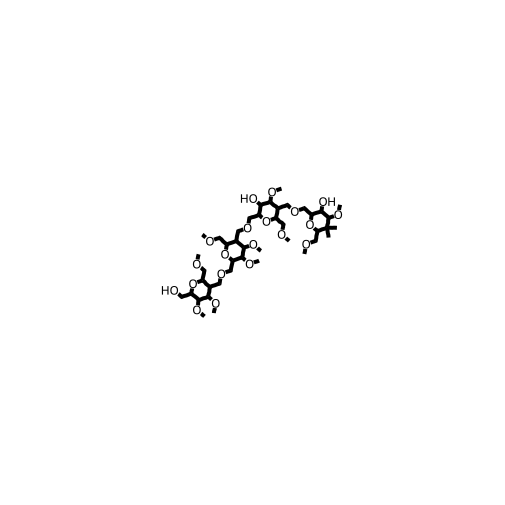 COCC1OC(COCC2C(COC)OC(COCC3C(COC)OC(CO)C(OC)C3OC)C(OC)C2OC)C(O)C(OC)C1COCC1OC(COC)C(C)(C)C(OC)C1O